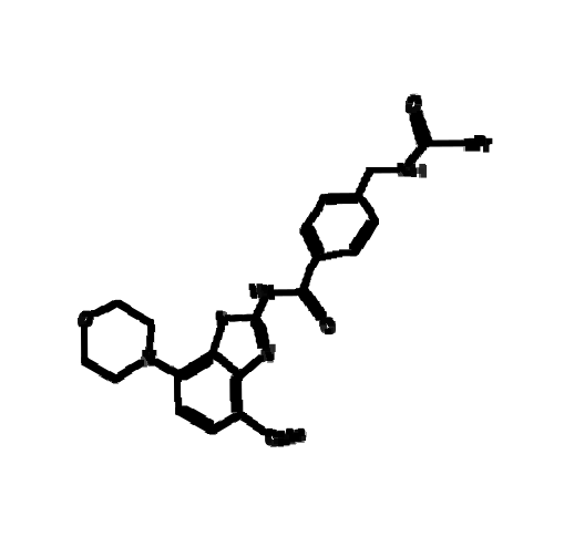 CCCC(=O)NCc1ccc(C(=O)Nc2nc3c(OC)ccc(N4CCOCC4)c3s2)cc1